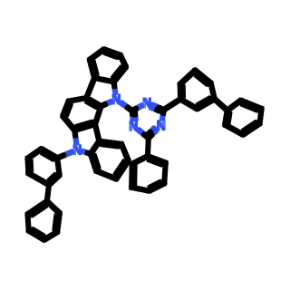 c1ccc(-c2cccc(-c3nc(-c4ccccc4)nc(-n4c5ccccc5c5ccc6c(c7ccccc7n6-c6cccc(-c7ccccc7)c6)c54)n3)c2)cc1